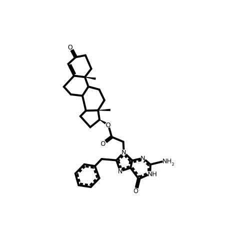 C[C@]12CCC(=O)C=C1CCC1C2CC[C@@]2(C)C1CC[C@@H]2OC(=O)Cn1c(Cc2ccccc2)nc2c(=O)[nH]c(N)nc21